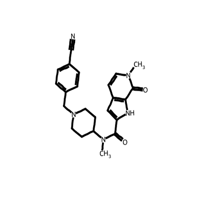 CN(C(=O)c1cc2ccn(C)c(=O)c2[nH]1)C1CCN(Cc2ccc(C#N)cc2)CC1